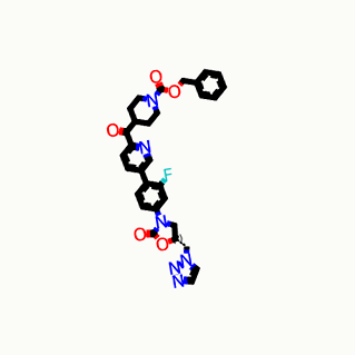 O=C(c1ccc(-c2ccc(N3C[C@H](Cn4ccnn4)OC3=O)cc2F)cn1)C1CCN(C(=O)OCc2ccccc2)CC1